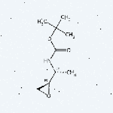 C[C@@H](NC(=O)OC(C)(C)C)[C@@H]1CO1